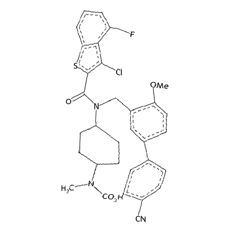 COc1ccc(-c2ccc(C#N)cc2)cc1CN(C(=O)c1sc2cccc(F)c2c1Cl)C1CCC(N(C)C(=O)O)CC1